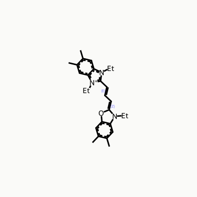 CCN1/C(=C/C=C/c2n(CC)c3cc(C)c(C)cc3[n+]2CC)Oc2cc(C)c(C)cc21